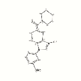 COc1cccc(-n2cc(Cl)c3cc(C(=O)N4CCCCC4)cnc32)c1